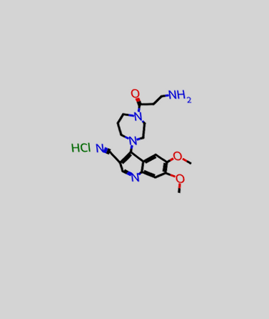 COc1cc2ncc(C#N)c(N3CCCN(C(=O)CCN)CC3)c2cc1OC.Cl